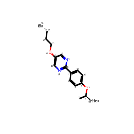 CCCCCC[C@@H](C)Oc1ccc(-c2ncc(OCCC[C@@H](C)CC)cn2)cc1